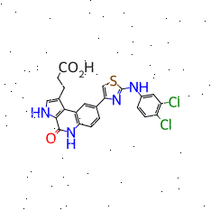 O=C(O)CCc1c[nH]c2c(=O)[nH]c3ccc(-c4csc(Nc5ccc(Cl)c(Cl)c5)n4)cc3c12